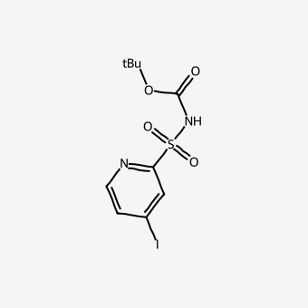 CC(C)(C)OC(=O)NS(=O)(=O)c1cc(I)ccn1